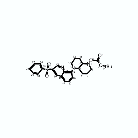 CC(C)(C)OC(=O)ON1CCCC2C1CCCN2c1cccc2cc(S(=O)(=O)c3ccccc3)cnc12